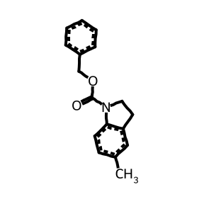 Cc1ccc2c(c1)CCN2C(=O)OCc1ccccc1